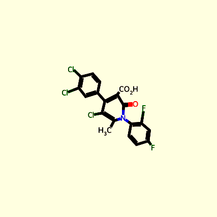 Cc1c(Cl)c(-c2ccc(Cl)c(Cl)c2)c(C(=O)O)c(=O)n1-c1ccc(F)cc1F